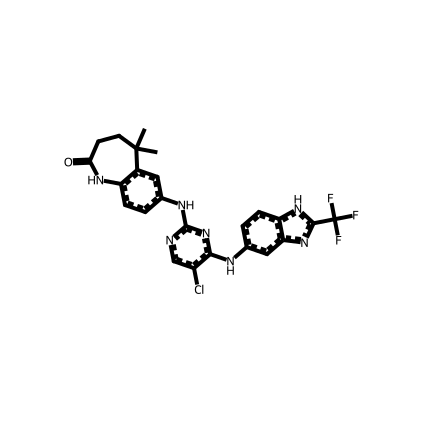 CC1(C)CCC(=O)Nc2ccc(Nc3ncc(Cl)c(Nc4ccc5[nH]c(C(F)(F)F)nc5c4)n3)cc21